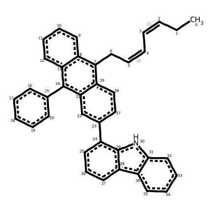 CC/C=C\C=C/Cc1c2ccccc2c(-c2ccccc2)c2cc(-c3cccc4c3[nH]c3ccccc34)ccc12